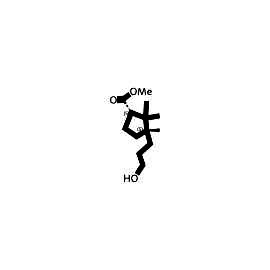 COC(=O)[C@H]1CC[C@@](C)(CCCO)C1(C)C